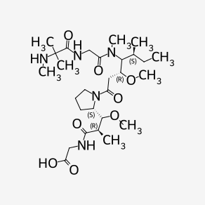 CC[C@H](C)C([C@@H](CC(=O)N1CCC[C@H]1C(OC)[C@@H](C)C(=O)NCC(=O)O)OC)N(C)C(=O)CNC(=O)C(C)(C)NC